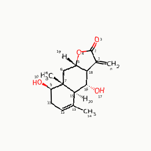 C=C1C(=O)O[C@H]2C[C@@]3(C)[C@H](O)CC=C(C)[C@@H]3[C@@H](O)C12